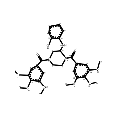 COc1cc(C(=O)N2CCN(C(=O)c3cc(OC)c(OC)c(OC)c3)C(Nc3ccccc3Cl)C2)cc(OC)c1OC